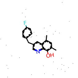 Cc1cc(C)c2cc(Cc3ccc(F)cc3)cnc2c1O